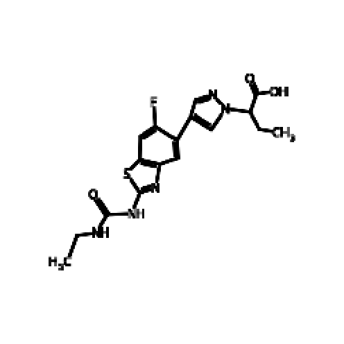 CCNC(=O)Nc1nc2cc(-c3cnn(C(CC)C(=O)O)c3)c(F)cc2s1